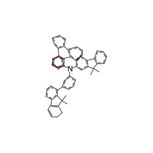 CC1(C)C2=C(C=CCC2)c2cccc(-c3cccc(N(c4ccc5c(c4)C(C)(C)c4ccccc4-5)c4ccccc4-c4ccccc4-c4ccccc4-c4ccccc4)c3)c21